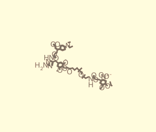 CCN(CC)c1ccc2c(COC(=O)Nc3nc(N)ncc3Cc3cc(OC)c(OCC(=O)CCCC(C)(C)COC(C)(C)CCNC(=O)OCc4cc(OC)c(OC(C)C)cc4[N+](=O)[O-])c(OC)c3)cc(=O)oc2c1